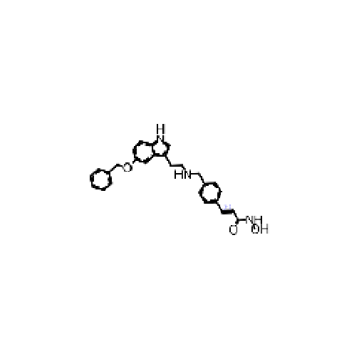 O=C(/C=C/c1ccc(CNCCc2c[nH]c3ccc(OCc4ccccc4)cc23)cc1)NO